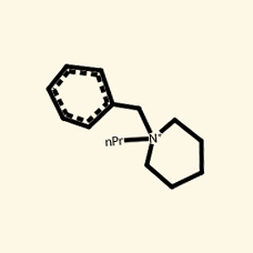 CCC[N+]1(Cc2ccccc2)CCCCC1